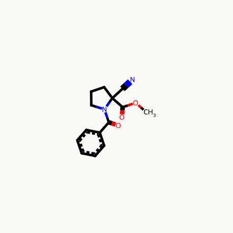 COC(=O)C1(C#N)CCCN1C(=O)c1ccccc1